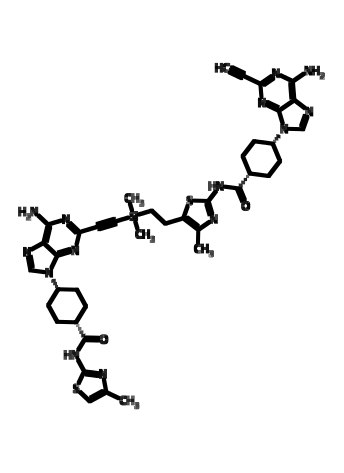 C#Cc1nc(N)c2ncn([C@H]3CC[C@@H](C(=O)Nc4nc(C)c(CC[Si](C)(C)C#Cc5nc(N)c6ncn([C@H]7CC[C@@H](C(=O)Nc8nc(C)cs8)CC7)c6n5)s4)CC3)c2n1